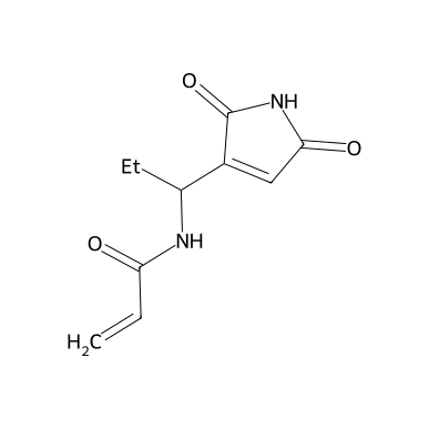 C=CC(=O)NC(CC)C1=CC(=O)NC1=O